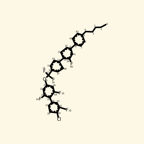 CCCCCc1ccc(-c2ccc(-c3ccc(C(F)(F)Oc4cc(F)c(-c5ccc(Cl)c(F)c5)c(F)c4)cc3)c(F)c2)cc1